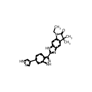 CCN1C(=O)C(C)(C)c2cc3nc(-c4n[nH]c5cc(-c6cn[nH]c6)ccc45)[nH]c3cc21